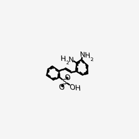 Nc1cccc(C=Cc2ccccc2S(=O)(=O)O)c1N